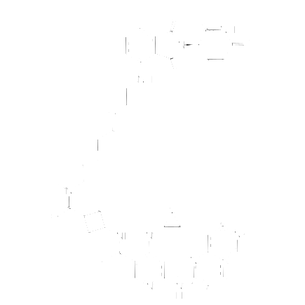 CN(CCOCCOCCNc1cccc2c1C(=O)N([C@@H]1CCC(=O)NC1=O)C2=O)C(=O)C1CC(NC(=O)c2cnc(Nc3ccc4cnccc4n3)cc2NC2CC2)C1